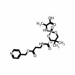 CC(N[P@@]1(=O)OCC(C)(C)[C@H](C(=O)NCCC(=O)OCc2ccncc2)O1)C(=O)O